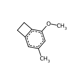 COc1cc(C)cc2c1CC2